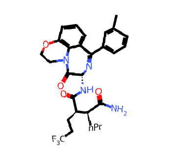 CCC[C@H](C(N)=O)[C@@H](CCC(F)(F)F)C(=O)N[C@H]1N=C(c2cccc(C)c2)c2cccc3c2N(CCO3)C1=O